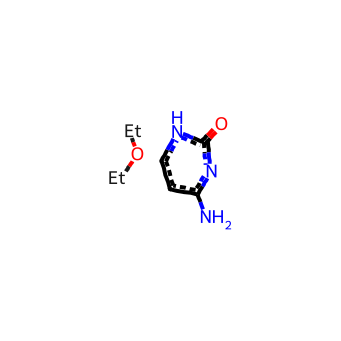 CCOCC.Nc1cc[nH]c(=O)n1